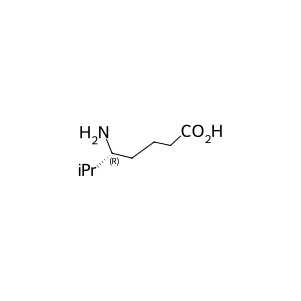 CC(C)[C@H](N)CCCC(=O)O